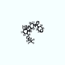 CC(C)(C)[Si](C)(C)OCc1cccc(NC2CCN(C(=O)C3CCOCC3)CC2)c1F